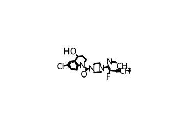 C#C/C(F)=C(\N=C/C)N1CCN(C(=O)N2CCC(O)c3cc(Cl)ccc32)CC1